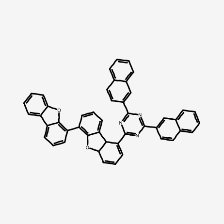 C1=CC2Oc3c(-c4cccc5c4oc4ccccc45)cccc3C2C(c2nc(-c3ccc4ccccc4c3)nc(-c3ccc4ccccc4c3)n2)=C1